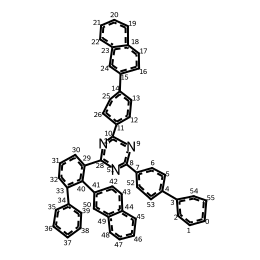 c1ccc(-c2ccc(-c3nc(-c4ccc(-c5ccc6ccccc6c5)cc4)nc(-c4cccc(-c5ccccc5)c4-c4ccc5ccccc5c4)n3)cc2)cc1